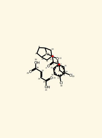 CCOC(=O)CN1C2CCC1CC(Oc1ccc(Cl)c(Cl)c1)C2.O=C(O)/C=C/C(=O)O